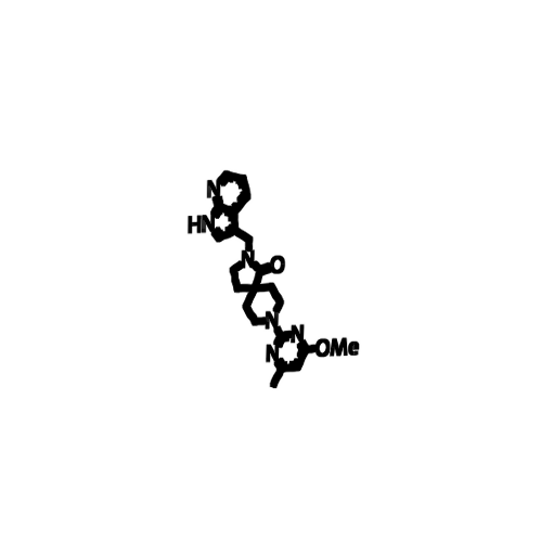 COc1cc(C)nc(N2CCC3(CCN(Cc4c[nH]c5ncccc45)C3=O)CC2)n1